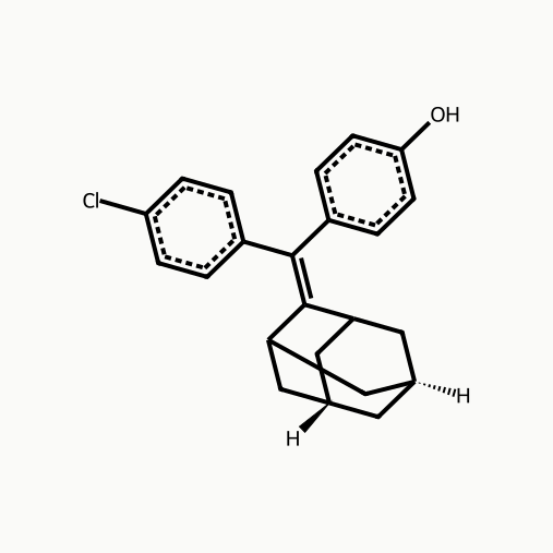 Oc1ccc(C(=C2C3C[C@H]4CC2C[C@@H](C3)C4)c2ccc(Cl)cc2)cc1